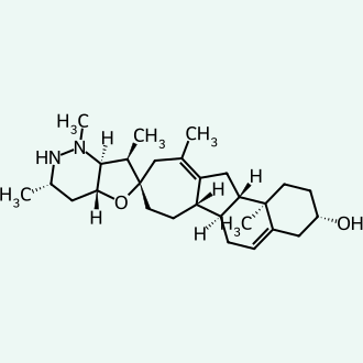 CC1=C2C[C@H]3[C@@H](CC=C4C[C@@H](O)CC[C@@]43C)[C@@H]2CC[C@@]2(C1)O[C@@H]1C[C@H](C)NN(C)[C@H]1[C@H]2C